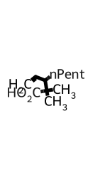 C=CC(CCCCC)C(C)(C)C(=O)O